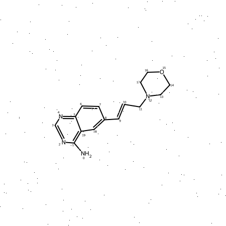 Nc1ncnc2ccc(/C=C/CN3CCOCC3)cc12